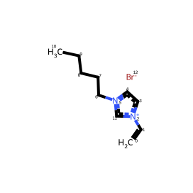 C=C[n+]1ccn(CCCCC)c1.[Br-]